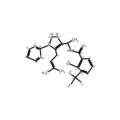 CC(C)=CCC1=C(C(C)NC(=O)c2cccc(C(F)(F)F)c2Cl)NNN1c1ncccn1